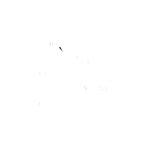 C/C(=N\N)[C@H](/C=C/F)[C@H](C)[C@@H](C)F